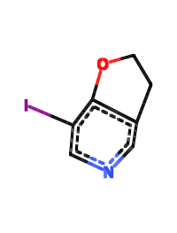 Ic1cncc2c1OCC2